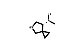 CC(C)N(C)[C@H]1CNCC12CC2